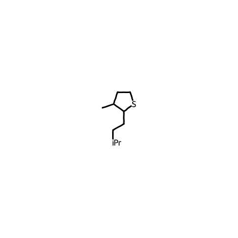 CC(C)CCC1SCCC1C